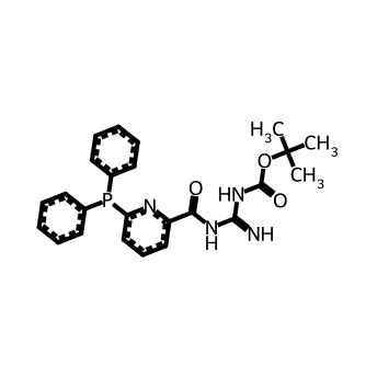 CC(C)(C)OC(=O)NC(=N)NC(=O)c1cccc(P(c2ccccc2)c2ccccc2)n1